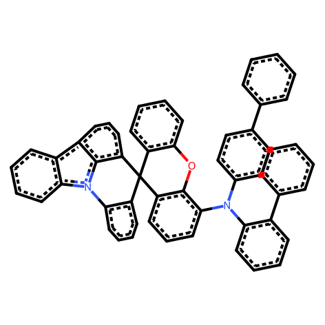 c1ccc(-c2ccc(N(c3ccccc3-c3ccccc3)c3cccc4c3Oc3ccccc3C43c4ccccc4-n4c5ccccc5c5cccc3c54)cc2)cc1